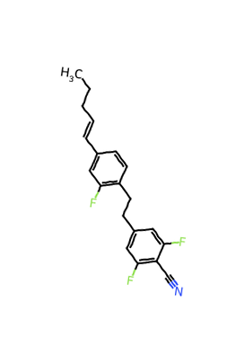 CCCC=Cc1ccc(CCc2cc(F)c(C#N)c(F)c2)c(F)c1